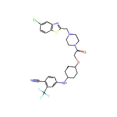 N#Cc1ccc(NC2CCC(OCC(=O)N3CCN(Cc4nc5cc(Cl)ccc5s4)CC3)CC2)cc1C(F)(F)F